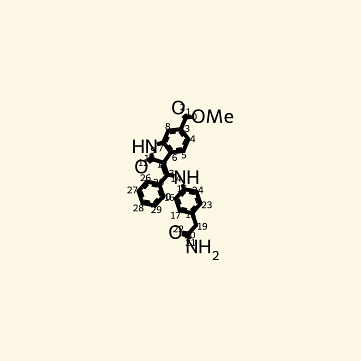 COC(=O)c1ccc2c(c1)NC(=O)C2=C(Nc1ccc(CC(N)=O)cc1)c1ccccc1